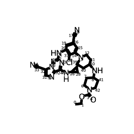 CCOC(=O)N1CCC(NC2CCN(c3cc(C#N)cc(Nc4nc(NC5CC5)c5ncc(C#N)n5n4)c3Cl)CC2)CC1